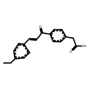 CCc1ccc(C=CC(=O)c2ccc(CC(=O)O)cc2)cc1